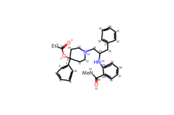 CCC(=O)OC1(c2ccccc2)CCN(CC(Cc2ccccc2)Nc2ccccc2C(=O)NC)CC1